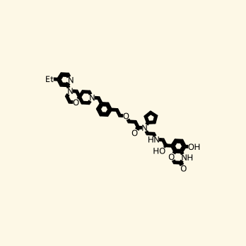 CCc1ccnc(N2CCOC3(CCN(Cc4cccc(CCOCCC(=O)N(CCNC[C@H](O)c5ccc(O)c6c5OCC(=O)N6)C5CCCC5)c4)CC3)C2)c1